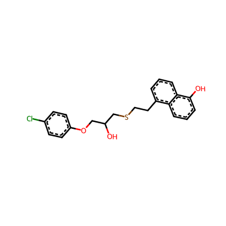 Oc1cccc2c(CCSCC(O)COc3ccc(Cl)cc3)cccc12